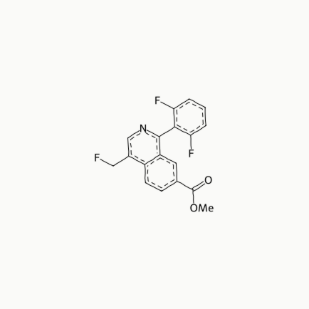 COC(=O)c1ccc2c(CF)cnc(-c3c(F)cccc3F)c2c1